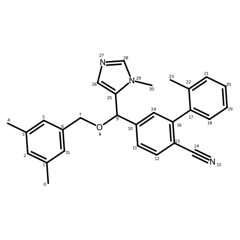 Cc1cc(C)cc(COC(c2ccc(C#N)c(-c3ccccc3C)c2)c2cncn2C)c1